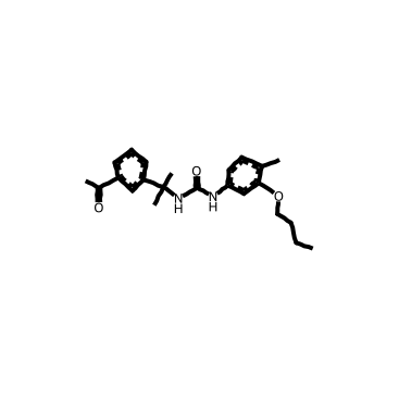 CCCCOc1cc(NC(=O)NC(C)(C)c2cccc(C(C)=O)c2)ccc1C